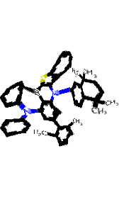 Cc1cccc(C)c1-c1cc2c3c(c1)N(c1ccc4c(c1)C(C)(C)CCC4(C)C)c1c(sc4ccccc14)B3c1ccccc1N2c1ccccc1